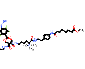 C#CCNC(=O)C1(C(=O)NCCCCC(C(=O)NCCc2ccc(NC(=O)CCCCCCC(=O)OC)cc2)[N+](C)(C)C)COC(c2c(F)c(F)c(N=[N+]=N)c(F)c2F)OC1